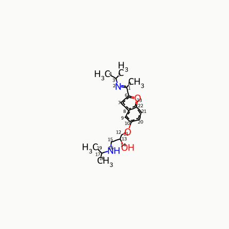 CC(=NC(C)C)c1cc2cc(OCC(O)CNC(C)C)ccc2o1